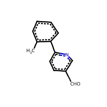 Cc1ccccc1-c1ccc(C=O)cn1